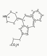 O=C(O)CCc1cc2c(s1)C=c1ccccc1=CC2=C1CCNCC1